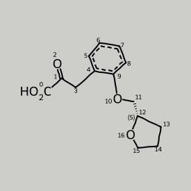 O=C(O)C(=O)Cc1ccccc1OC[C@@H]1CCCO1